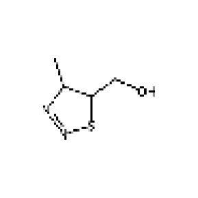 CC1N=NSC1CO